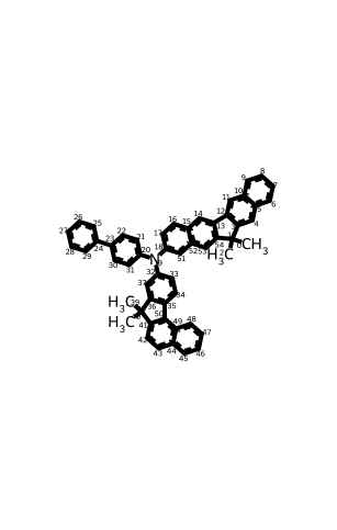 CC1(C)c2cc3ccccc3cc2-c2cc3ccc(N(c4ccc(-c5ccccc5)cc4)c4ccc5c(c4)C(C)(C)c4ccc6ccccc6c4-5)cc3cc21